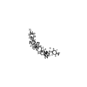 C[C@H](c1ccc(F)cc1)n1cncc1CC1(C#N)CCN(S(=O)(=O)c2cnc(N3CCN(C)CC3)s2)CC1